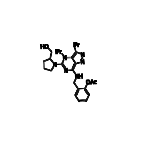 CC(=O)Oc1ccccc1CNc1nc(N2CCCC2CO)n(C(C)C)c2c(C(C)C)nnc1-2